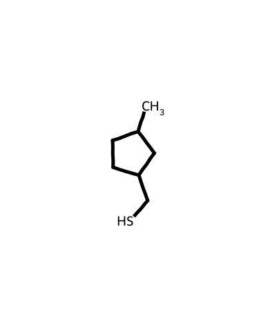 CC1CCC(CS)C1